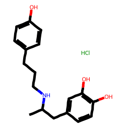 CC(Cc1ccc(O)c(O)c1)NCCCc1ccc(O)cc1.Cl